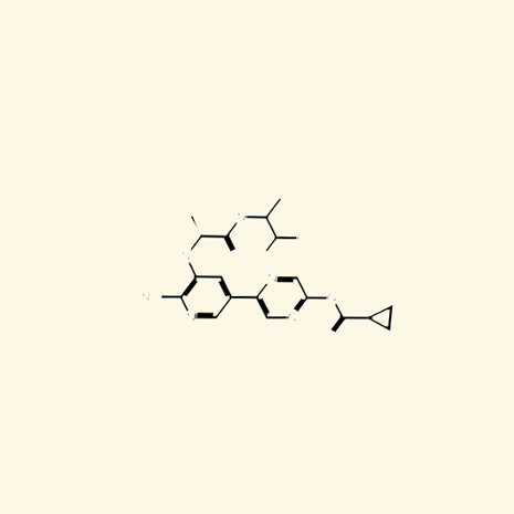 CC(NC(=O)[C@H](C)Nc1cc(-c2cnc(NC(=O)C3CC3)cn2)cnc1C#N)C(F)F